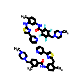 Cc1ccc(NC(=O)c2c(F)c(F)c(CN3CCN(C)CC3)c(F)c2F)cc1Nc1nc(-c2cccnc2)cs1.Cc1ccc(NC(=O)c2ccc(CN3CCN(C)CC3)c(C(F)(F)F)c2)cc1Cc1nc(-c2cccnc2)cs1